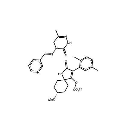 CC1=NNC(=O)N(/N=C/c2cccnc2)C1.CCOC(=O)OC1=C(c2cc(C)ccc2C)C(=O)N[C@]12CC[C@@H](OC)CC2